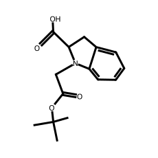 CC(C)(C)OC(=O)CN1c2ccccc2CC1C(=O)O